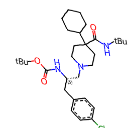 CC(C)(C)NC(=O)C1(C2CCCCC2)CCN(C[C@H](Cc2ccc(Cl)cc2)NC(=O)OC(C)(C)C)CC1